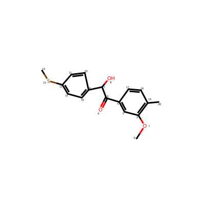 COc1cc(C(=O)C(O)c2ccc(SC)cc2)ccc1C